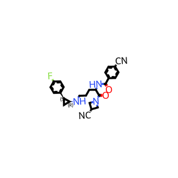 N#Cc1ccc(C(=O)NC(CCCN[C@@H]2C[C@H]2c2ccc(F)cc2)C(=O)N2CC(C#N)C2)cc1